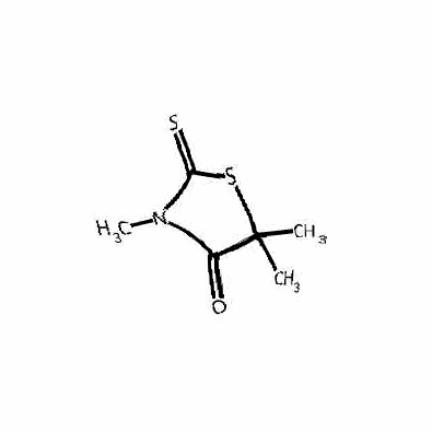 CN1C(=O)C(C)(C)SC1=S